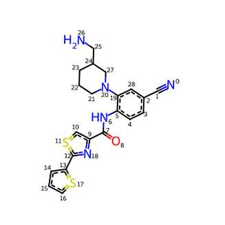 N#Cc1ccc(NC(=O)c2csc(-c3cccs3)n2)c(N2CCCC(CN)C2)c1